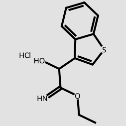 CCOC(=N)C(O)c1csc2ccccc12.Cl